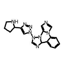 C1=NC2c3ccccc3-n3cncc3N2N1n1cc(C2CCCN2)nn1